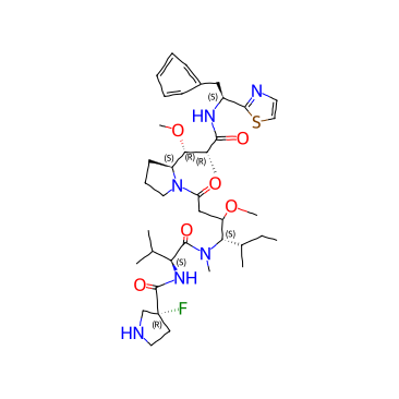 CCC(C)[C@@H](C(CC(=O)N1CCC[C@H]1[C@H](OC)[C@@H](C)C(=O)N[C@@H](Cc1ccccc1)c1nccs1)OC)N(C)C(=O)[C@@H](NC(=O)[C@@]1(F)CCNC1)C(C)C